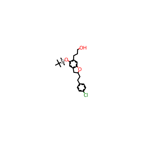 CC(C)(C)[Si](C)(C)Oc1cc2c(cc1CCCO)OC(CCc1ccc(Cl)cc1)C2